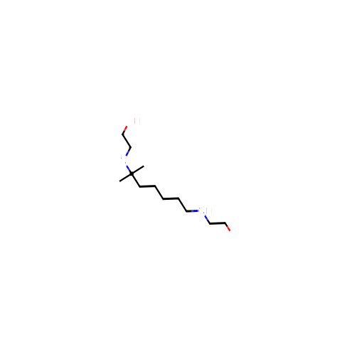 CC(C)(CCCCCNCCO)NCCO